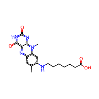 Cc1cc2nc3c(=O)[nH]c(=O)nc-3n(C)c2cc1NCCCCCCC(=O)O